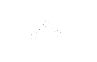 Cc1ncc(-c2ccc(C(=O)NC3CC3)cc2)nc1C(O)Nc1ccccc1